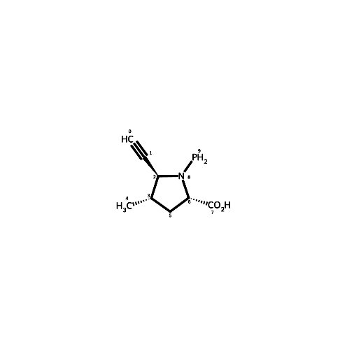 C#C[C@@H]1[C@@H](C)C[C@@H](C(=O)O)N1P